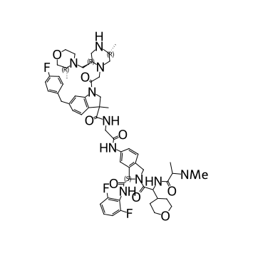 CNC(C)C(=O)NC(C(=O)N1Cc2ccc(NC(=O)CNC(=O)C3(C)CN(C(=O)CN4C[C@@H](C)NC[C@@H]4CN4CCOC[C@H]4C)c4cc(Cc5ccc(F)cc5)ccc43)cc2[C@H]1C(=O)Nc1c(F)cccc1F)C1CCOCC1